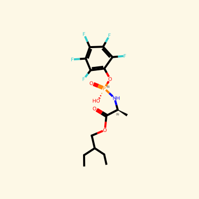 CCC(CC)COC(=O)[C@H](C)N[P@](=O)(O)Oc1c(F)c(F)c(F)c(F)c1F